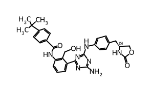 CC(C)(C)c1ccc(C(=O)Nc2cccc(-c3nc(N)nc(Nc4ccc(C[C@H]5COC(=O)N5)cc4)n3)c2CO)cc1